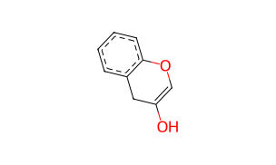 OC1=COc2ccccc2C1